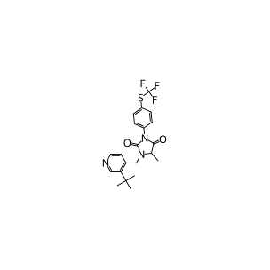 CC1C(=O)N(c2ccc(SC(F)(F)F)cc2)C(=O)N1Cc1ccncc1C(C)(C)C